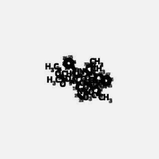 CCOC(C)(C)C(=O)OCN(C(=O)CN1CCOCC1)[C@@H](CCc1ccccc1)C(=O)N[C@@H](CC(C)C)C(=O)N[C@@H](Cc1ccccc1)C(=O)N[C@@H](CC(C)C)C(=O)[C@@]1(C)CO1